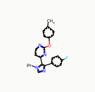 Cc1ccc(Oc2nccc(-c3c(-c4ccc(F)cc4)ncn3C(C)C)n2)cc1